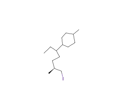 CCC(CC[C@H](C)CI)C1CCC(C)CC1